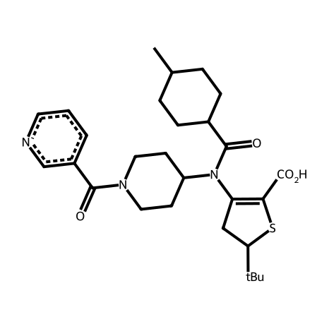 CC1CCC(C(=O)N(C2=C(C(=O)O)SC(C(C)(C)C)C2)C2CCN(C(=O)c3cccnc3)CC2)CC1